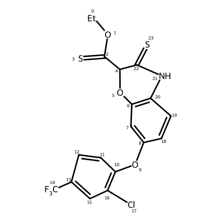 CCOC(=S)C1Oc2cc(Oc3ccc(C(F)(F)F)cc3Cl)ccc2NC1=S